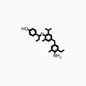 CC/C(=N\c1c(C)cc(Cc2cc(C)c(N)c(CC)c2)cc1C(C)C)c1ccc(O)cc1